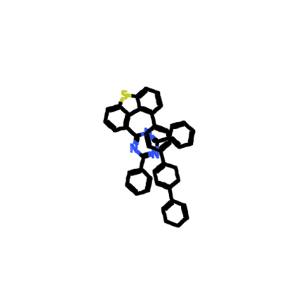 C1=CC(C2=CC=C(c3ccc(-c4cccc5sc6cccc(-c7nc(-c8ccccc8)nc(-c8ccccc8)n7)c6c45)cc3)CC2)=CCC1